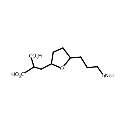 CCCCCCCCCCCCC1CCC(CC(C(=O)O)C(=O)O)O1